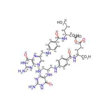 Nc1nc2c(c(=O)[nH]1)NC(CNc1ccc(C(=O)NC(CCC(=O)OC=O)C(=O)O)cc1)CN2.Nc1nc2ncc(CNc3ccc(C(=O)NC(CCC(=O)O)C(=O)O)cc3)nc2c(=O)[nH]1